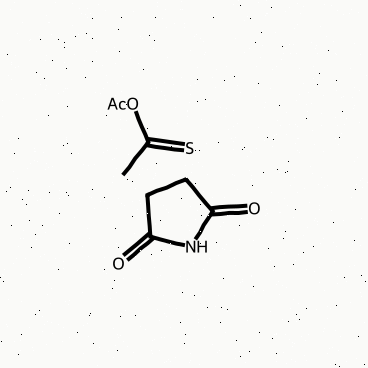 CC(=O)OC(C)=S.O=C1CCC(=O)N1